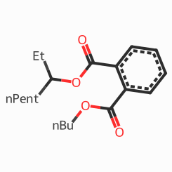 CCCCCC(CC)OC(=O)c1ccccc1C(=O)OCCCC